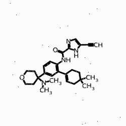 C#Cc1cnc(C(=O)Nc2ccc(C3(N(C)C)CCOCC3)cc2C2=CCC(C)(C)CC2)[nH]1